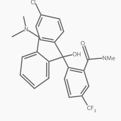 CNC(=O)c1cc(C(F)(F)F)ccc1C(O)(c1ccc(Cl)cc1)c1ccccc1CN(C)C